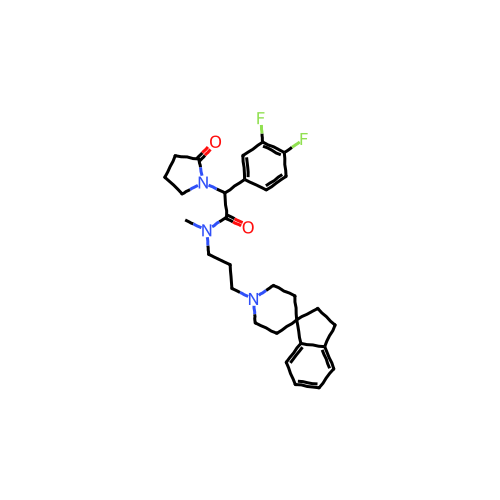 CN(CCCN1CCC2(CCc3ccccc32)CC1)C(=O)C(c1ccc(F)c(F)c1)N1CCCC1=O